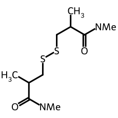 CNC(=O)C(C)CSSCC(C)C(=O)NC